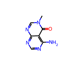 Cn1cnc2ncnc(N)c2c1=O